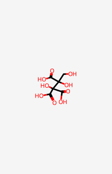 O=C(O)C(O)(CO)C(O)(C(=O)O)C(=O)O